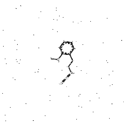 COc1ccccc1CCN=C=O